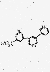 O=C(O)c1cncc(-c2cncc(-c3cccnc3)c2)c1